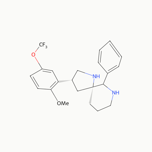 COc1ccc(OC(F)(F)F)cc1[C@@H]1CN[C@]2(CCCNC2c2ccccc2)C1